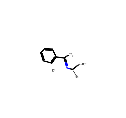 CC[C@H](/N=C(/c1ccccc1)C(F)(F)F)C(=O)[O-].[K+]